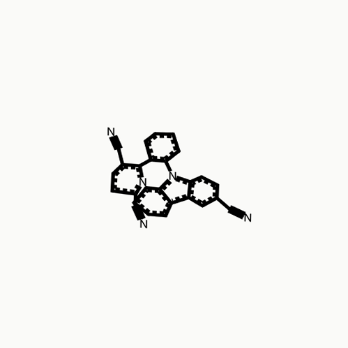 N#Cc1ccc2c(c1)c1ccccc1n2-c1ccccc1-c1nc(C#N)ccc1C#N